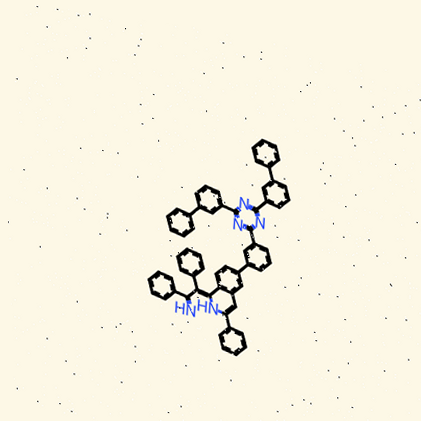 N=C(/C(=C1\NC(c2ccccc2)=Cc2cc(-c3cccc(-c4nc(-c5cccc(-c6ccccc6)c5)nc(-c5cccc(-c6ccccc6)c5)n4)c3)ccc21)c1ccccc1)c1ccccc1